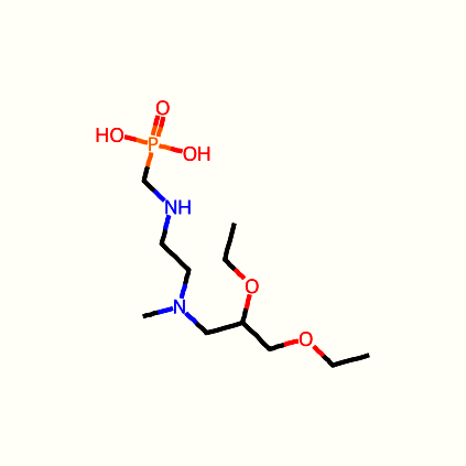 CCOCC(CN(C)CCNCP(=O)(O)O)OCC